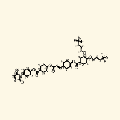 O=C(/C=C/C1CCC(OC(=O)C2CCC(OCCCC(F)(F)F)C(OCCCC(F)(F)F)C2)CC1)OC1CCC(C(=O)OC2=CC=C(N3C(=O)C=CC3=O)CC2)CC1